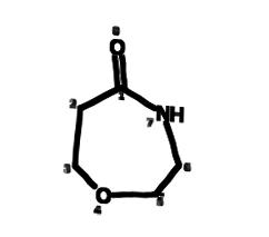 O=C1CCO[CH]CN1